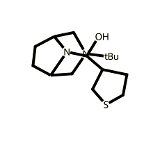 CC(C)(C)N1CC2CCC(C1)N2C(O)C1CCSC1